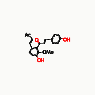 COc1c(O)ccc(C=CC(C)=O)c1C(=O)C=Cc1ccc(O)cc1